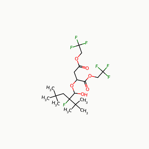 CC(C)(C)CC(F)(C(O)OC(CC(=O)OCC(F)(F)F)C(=O)OCC(F)(F)F)C(C)(C)C